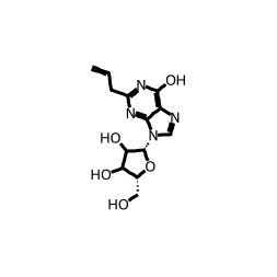 C=CCc1nc(O)c2ncn([C@@H]3O[C@H](CO)C(O)C3O)c2n1